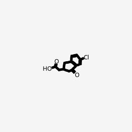 O=C(O)CC1CC(=O)c2cc(Cl)ccc2C1